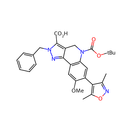 COc1cc2c(cc1-c1c(C)noc1C)N(C(=O)OC(C)(C)C)Cc1c-2nn(Cc2ccccc2)c1C(=O)O